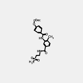 CCCCCCCCCCOc1ccc(C(=O)Nc2cc(C(=O)NCCS(C)(=O)=O)ccc2C)cc1